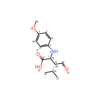 COc1ccc(N[C@H](C(=O)O)[C@H](C=O)C(C)C)cc1